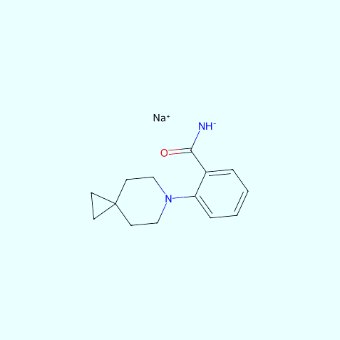 [NH-]C(=O)c1ccccc1N1CCC2(CC1)CC2.[Na+]